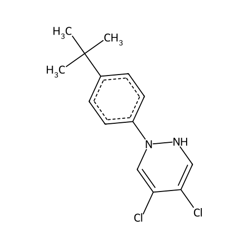 CC(C)(C)c1ccc(N2C=C(Cl)C(Cl)=CN2)cc1